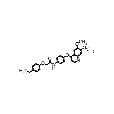 CCc1ccc(OCC(=O)Nc2ccc(Oc3ccnc4cc(OC)c(OC)cc34)cc2)cc1